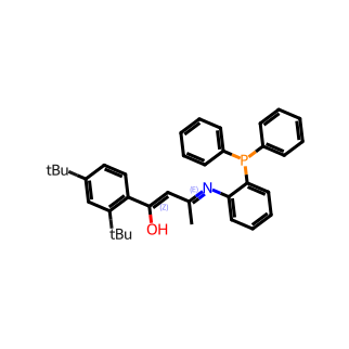 CC(/C=C(\O)c1ccc(C(C)(C)C)cc1C(C)(C)C)=N\c1ccccc1P(c1ccccc1)c1ccccc1